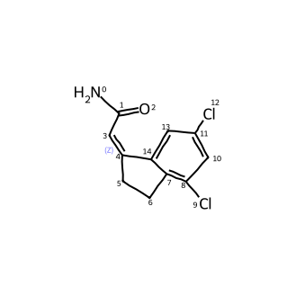 NC(=O)/C=C1/CCc2c(Cl)cc(Cl)cc21